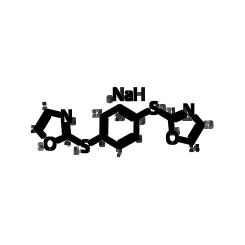 [NaH].c1coc(Sc2ccc(Sc3ncco3)cc2)n1